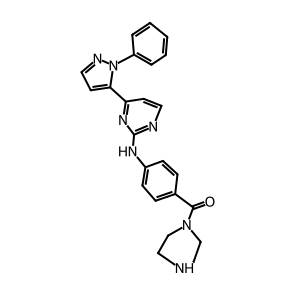 O=C(c1ccc(Nc2nccc(-c3ccnn3-c3ccccc3)n2)cc1)N1CCNCC1